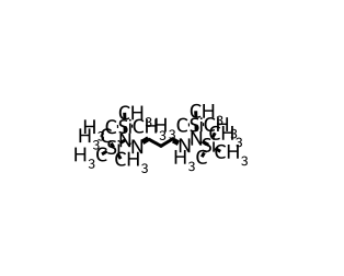 C[Si](C)(C)N(N=CCC=NN([Si](C)(C)C)[Si](C)(C)C)[Si](C)(C)C